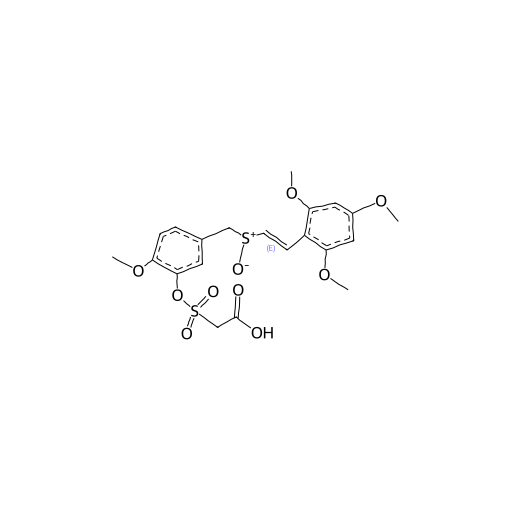 COc1cc(OC)c(/C=C/[S+]([O-])Cc2ccc(OC)c(OS(=O)(=O)CC(=O)O)c2)c(OC)c1